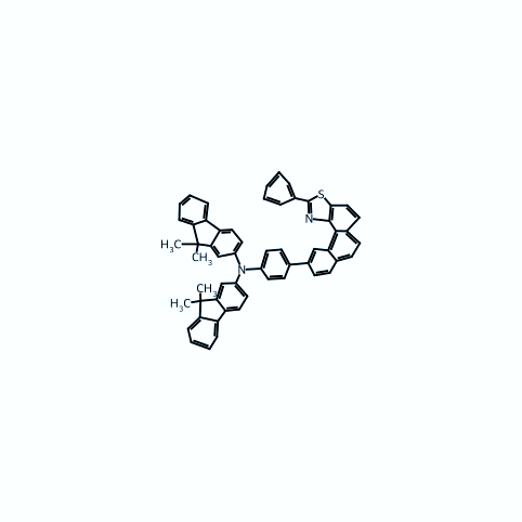 CC1(C)c2ccccc2-c2ccc(N(c3ccc(-c4ccc5ccc6ccc7sc(-c8ccccc8)nc7c6c5c4)cc3)c3ccc4c(c3)C(C)(C)c3ccccc3-4)cc21